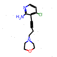 Nc1nccc(Cl)c1C#CCCN1CCOCC1